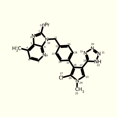 CCCc1nc2c(C)ccnc2n1Cc1ccc(-c2c(-c3nnn[nH]3)cn(C)c2Cl)cc1